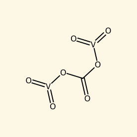 O=C([O][V](=[O])=[O])[O][V](=[O])=[O]